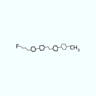 CCC1CCC(c2ccc(CCc3ccc(-c4ccc(CCCCF)cc4)cc3)cc2)CC1